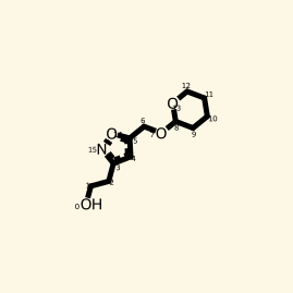 OCCc1cc(COC2CCCCO2)on1